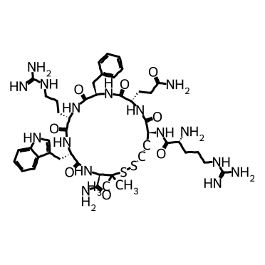 CC1(C)SSCC[C@H](NC(=O)[C@H](N)CCCNC(=N)N)C(=O)N[C@@H](CCC(N)=O)C(=O)N[C@H](Cc2ccccc2)C(=O)N[C@@H](CCCNC(=N)N)C(=O)N[C@@H](Cc2c[nH]c3ccccc23)C(=O)N[C@@H]1C(N)=O